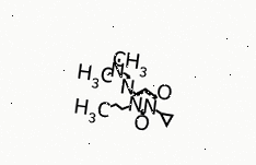 CCCn1c(/N=C/N(C)C)cc(=O)n(C2CC2)c1=O